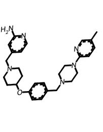 Cc1ccc(N2CCN(Cc3ccc(OC4CCN(Cc5ccnc(N)c5)CC4)cc3)CC2)nc1